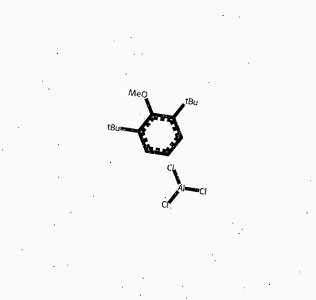 [CH2]Oc1c(C(C)(C)C)cccc1C(C)(C)C.[Cl][Al]([Cl])[Cl]